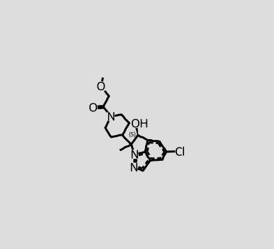 COCC(=O)N1CCC(C2(C)[C@@H](O)c3cc(Cl)cc4cnn2c34)CC1